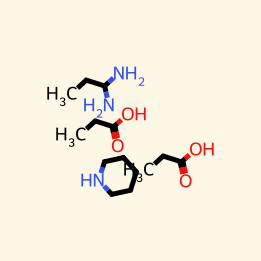 C1CCNCC1.CCC(=O)O.CCC(=O)O.CCC(N)N